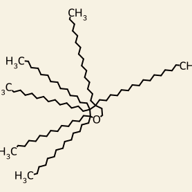 CCCCCCCCCCCCCCCCC1(CCCCCCCCCCCCCCCC)CCOC(CCCCCCCCCCCCCC)(CCCCCCCCCCCCCC)C1(CCCCCCCCCCCCCC)CCCCCCCCCCCCCC